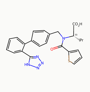 CC(C)[C@@H](C(=O)O)N(Cc1ccc(-c2ccccc2-c2nnn[nH]2)cc1)C(=O)c1cccs1